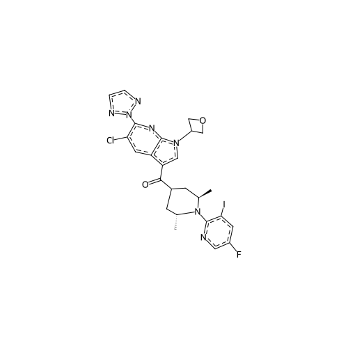 C[C@@H]1CC(C(=O)c2cn(C3COC3)c3nc(-n4nccn4)c(Cl)cc23)C[C@@H](C)N1c1ncc(F)cc1I